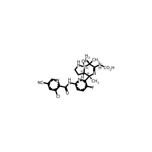 CC1(C)C(NC(=O)O)=N[C@](C)(c2nc(NC(=O)c3ncc(C#N)cc3Cl)ccc2F)[C@@H]2CCN[S@@]21O